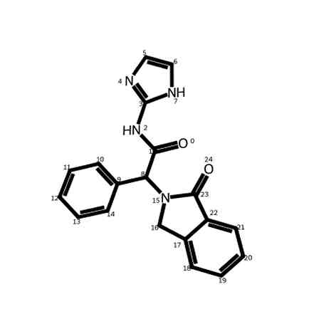 O=C(Nc1ncc[nH]1)C(c1ccccc1)N1Cc2ccccc2C1=O